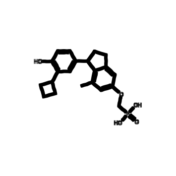 Cc1cc(OCP(=O)(O)O)cc2c1C(c1ccc(O)c(C3CCC3)c1)CC2